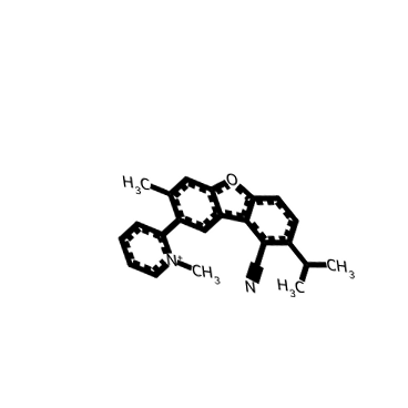 Cc1cc2oc3ccc(C(C)C)c(C#N)c3c2cc1-c1cccc[n+]1C